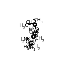 COc1ccc(C(=O)Nc2c(O)c3ccc(O[C@H]4C[C@H](OC(N)=O)[C@@H](OC)C(C)(C)O4)c(C)c3oc2=O)cc1CC=C(C)C